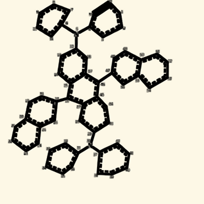 c1cccc(N(c2ccccc2)c2ccc3c(-c4ccc5ccccc5c4)c4cc(N(c5ccccc5)c5ccccc5)ccc4c(-c4ccc5ccccc5c4)c3c2)c#1